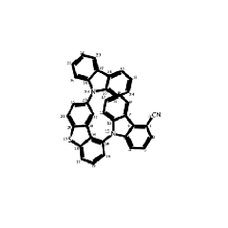 N#Cc1cccc2c1c1ccccc1n2-c1cccc2sc3ccc(-n4c5ccccc5c5ccccc54)cc3c12